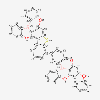 c1ccc2c(c1)Oc1c3c(cc4oc5ccccc5c14)Oc1ccc(-c4cccc5c4sc4cc6c7c(c45)Oc4ccccc4B7c4ccccc4O6)cc1B23